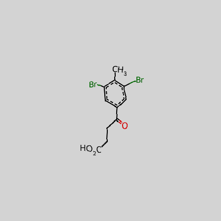 Cc1c(Br)cc(C(=O)CCC(=O)O)cc1Br